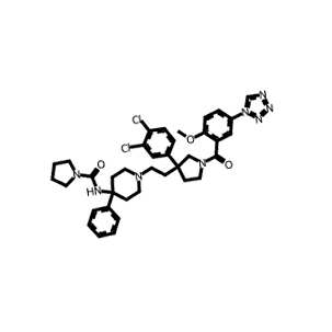 COc1ccc(-n2cnnn2)cc1C(=O)N1CCC(CCN2CCC(NC(=O)N3CCCC3)(c3ccccc3)CC2)(c2ccc(Cl)c(Cl)c2)C1